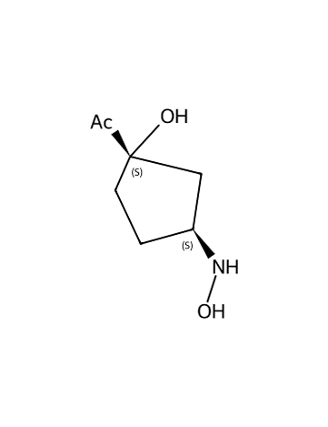 CC(=O)[C@]1(O)CC[C@H](NO)C1